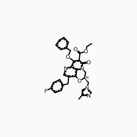 CCOC(=O)c1c(OCc2ccccc2)c2ncc(Cc3ccc(F)cc3)c3c2n(c1=O)C[C@@H](Cn1cnc(C)c1)O3